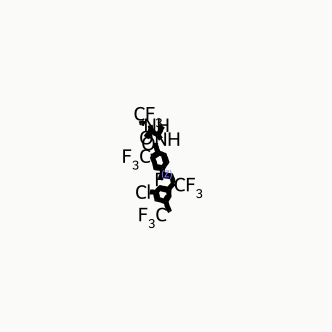 CC(NC(=O)c1ccc(/C(F)=C/C(c2cc(Cl)cc(CC(F)(F)F)c2)C(F)(F)F)cc1C(F)(F)F)C(=O)NCC(F)(F)F